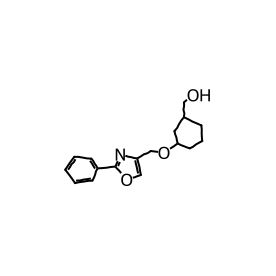 OCC1CCCC(OCc2coc(-c3ccccc3)n2)C1